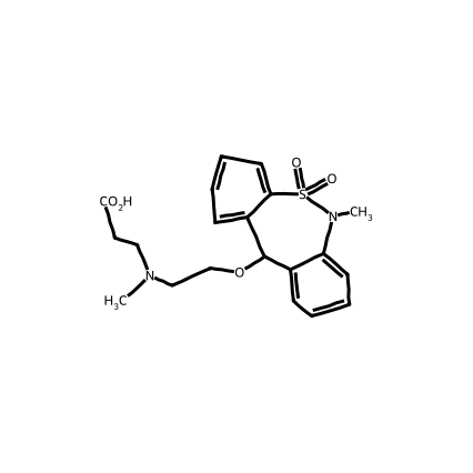 CN(CCOC1c2ccccc2N(C)S(=O)(=O)c2ccccc21)CCC(=O)O